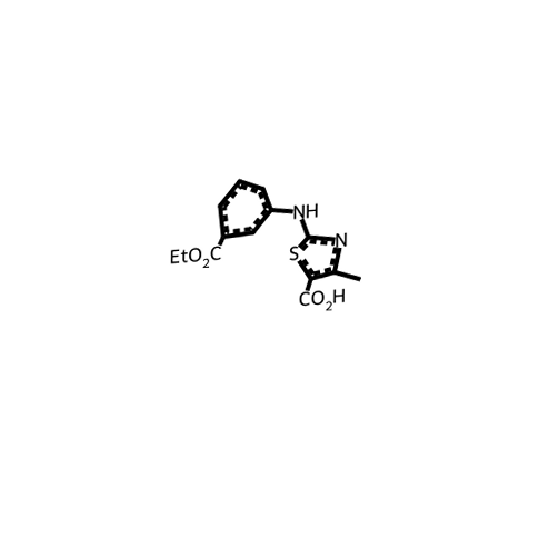 CCOC(=O)c1cccc(Nc2nc(C)c(C(=O)O)s2)c1